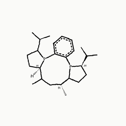 CC(C)C1CC[C@@H]2C(C)C[C@@H](C)C3CC[C@H](C(C)C)P3c3ccccc3P12